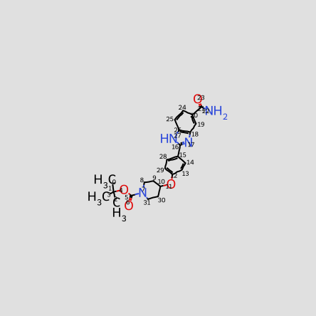 CC(C)(C)OC(=O)N1CCC(Oc2ccc(-c3nc4cc(C(N)=O)ccc4[nH]3)cc2)CC1